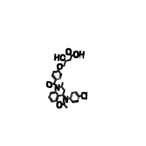 CC(=O)N(c1ccc(Cl)cc1)C1CC(C)N(C(=O)c2ccc(OC[C@@H](O)CC(=O)O)cc2)c2ccccc21